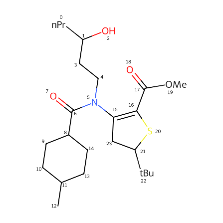 CCCC(O)CCN(C(=O)C1CCC(C)CC1)C1=C(C(=O)OC)SC(C(C)(C)C)C1